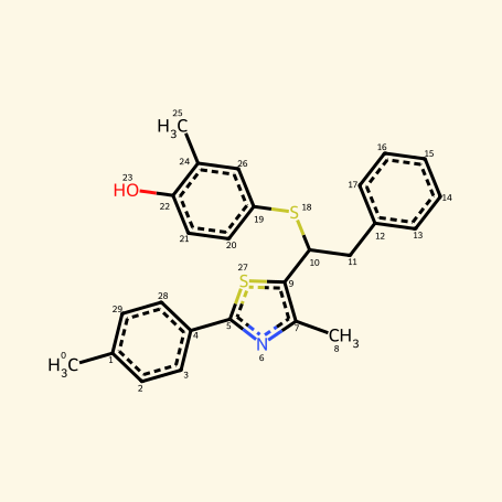 Cc1ccc(-c2nc(C)c(C(Cc3ccccc3)Sc3ccc(O)c(C)c3)s2)cc1